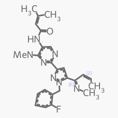 C/C=C\C(=N/C)c1cc(-c2ncc(NC(=O)C=C(C)C)c(NC)n2)nn1Cc1ccccc1F